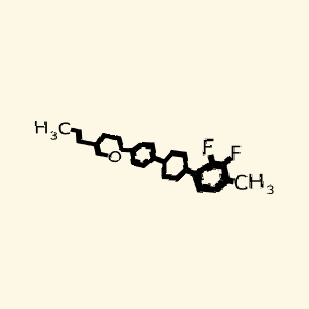 CCCC1CCC(c2ccc(C3CCC(c4ccc(C)c(F)c4F)CC3)cc2)OC1